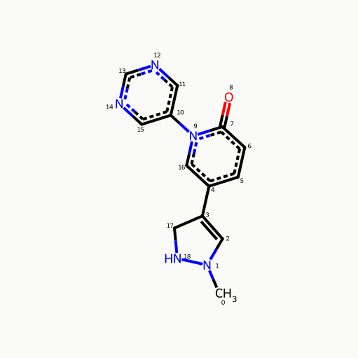 CN1C=C(c2ccc(=O)n(-c3cncnc3)c2)CN1